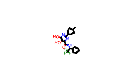 Cc1ccc(-c2nc(O)c(O)c(C(=O)NC(c3ccccc3)C(F)(F)F)n2)cc1